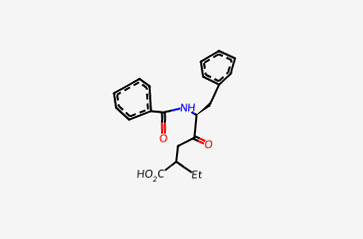 CCC(CC(=O)[C@H](Cc1ccccc1)NC(=O)c1ccccc1)C(=O)O